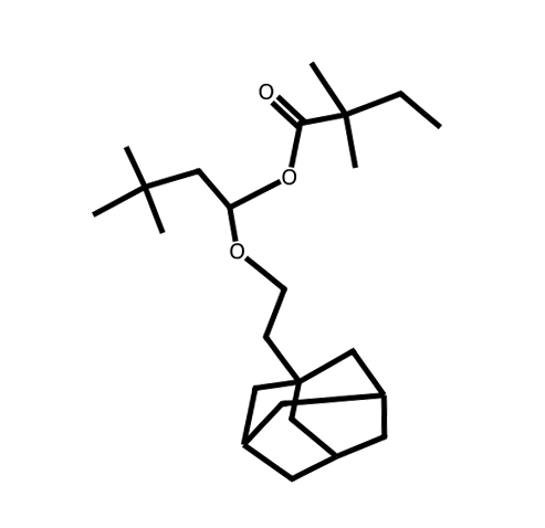 CCC(C)(C)C(=O)OC(CC(C)(C)C)OCCC12CC3CC(CC(C3)C1)C2